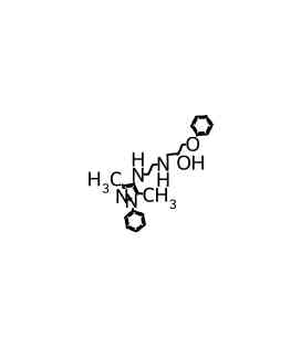 Cc1nn(-c2ccccc2)c(C)c1NCCNCC(O)COc1ccccc1